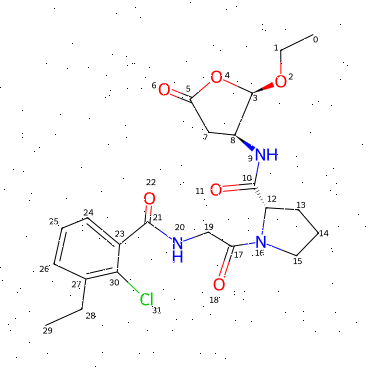 CCO[C@@H]1OC(=O)C[C@@H]1NC(=O)[C@@H]1CCCN1C(=O)CNC(=O)c1cccc(CC)c1Cl